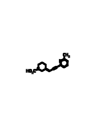 Cc1cccc(C#CC=C2CCCN(C(=O)O)C2)n1